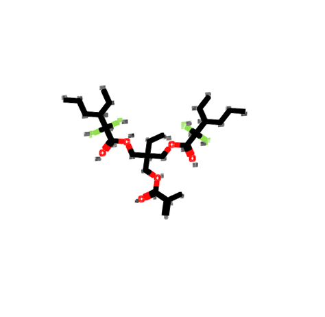 C=C(C)C(=O)OCC(CC)(COC(=O)C(F)(F)C(CC)CCC)COC(=O)C(F)(F)C(CC)CCC